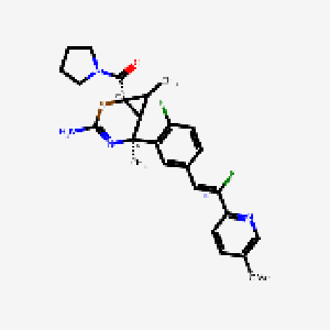 COc1ccc(/C(F)=C/c2ccc(F)c([C@@]3(C)N=C(N)S[C@@]4(C(=O)N5CCCC5)C(C)C43)c2)nc1